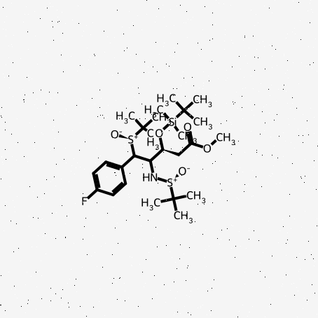 COC(=O)C[C@H](O[Si](C)(C)C(C)(C)C)C(N[S@@+]([O-])C(C)(C)C)C(c1ccc(F)cc1)[S@@+]([O-])C(C)(C)C